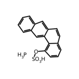 O=S(=O)(O)Oc1cccc2ccc3cc4ccccc4cc3c12.P